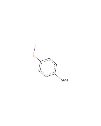 CSc1ccc(SI)cc1